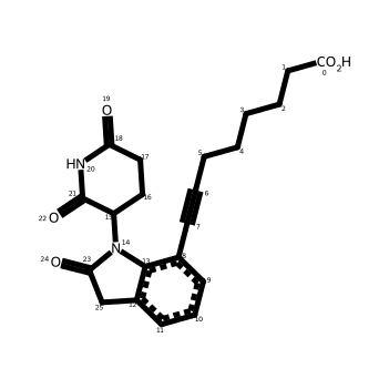 O=C(O)CCCCCC#Cc1cccc2c1N(C1CCC(=O)NC1=O)C(=O)C2